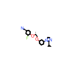 C[C@H](COc1cccc(-n2ccnc2C2CC2)c1)Oc1ccc(C#N)cc1F